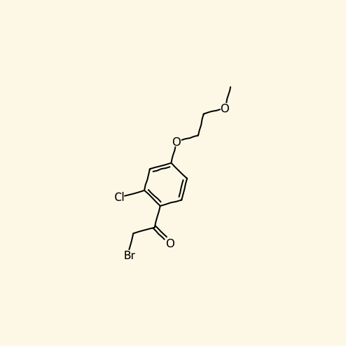 COCCOc1ccc(C(=O)CBr)c(Cl)c1